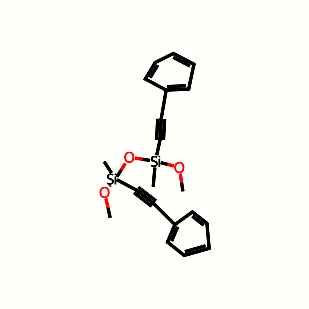 CO[Si](C)(C#Cc1ccccc1)O[Si](C)(C#Cc1ccccc1)OC